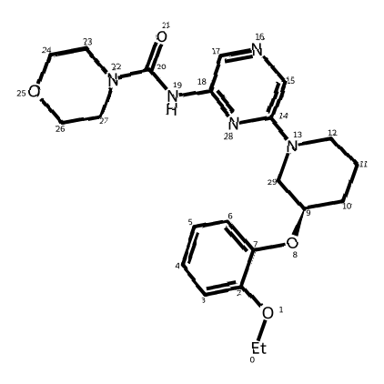 CCOc1ccccc1O[C@@H]1CCCN(c2cncc(NC(=O)N3CCOCC3)n2)C1